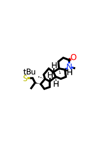 CC(CSC(C)(C)C)[C@H]1CC[C@H]2[C@@H]3CC[C@H]4N(C)C(=O)CC[C@]4(C)[C@H]3CC[C@]12C